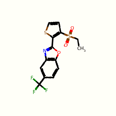 CCS(=O)(=O)c1ccsc1-c1nc2cc(C(F)(F)F)ccc2o1